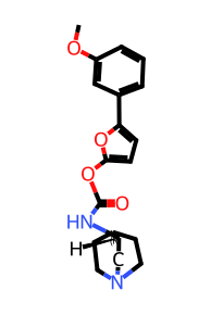 COc1cccc(-c2ccc(OC(=O)N[C@H]3CN4CCC3CC4)o2)c1